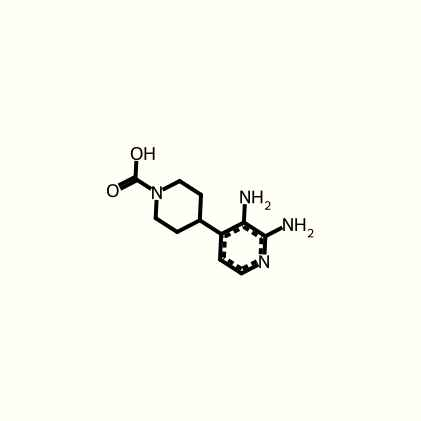 Nc1nccc(C2CCN(C(=O)O)CC2)c1N